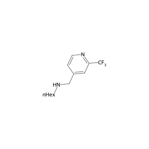 CCCCCCNCc1ccnc(C(F)(F)F)c1